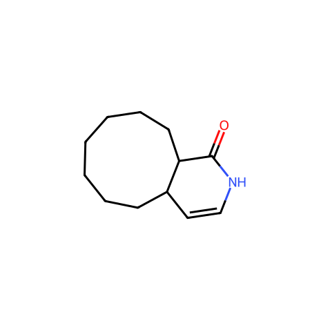 O=C1NC=CC2CCCCCCCC12